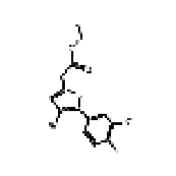 CCOC(=O)Oc1cc(Br)c(-c2ccc(F)c(Cl)c2)o1